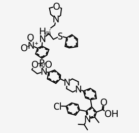 Cc1c(C(=O)O)c(-c2cccc(N3CCN(c4ccc(N5CCO[P@]5(=O)c5ccc(N[C@H](CCN6CCOCC6)CSc6ccccc6)c([N+](=O)[O-])c5)cc4)CC3)c2)c(-c2ccc(Cl)cc2)n1C(C)C